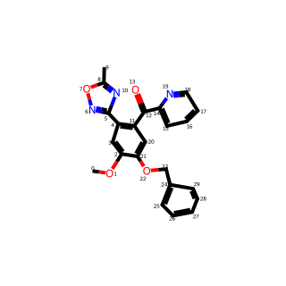 COc1cc(-c2noc(C)n2)c(C(=O)c2ccccn2)cc1OCc1ccccc1